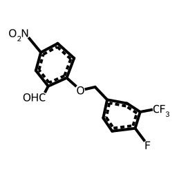 O=Cc1cc([N+](=O)[O-])ccc1OCc1ccc(F)c(C(F)(F)F)c1